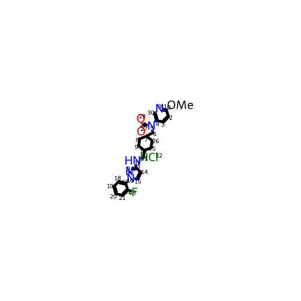 COc1ccc(N2CC3(CCC(CNc4ccn(-c5ccccc5F)n4)CC3)OC2=O)cn1.Cl